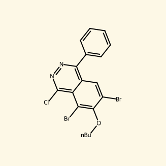 CCCCOc1c(Br)cc2c(-c3ccccc3)nnc(Cl)c2c1Br